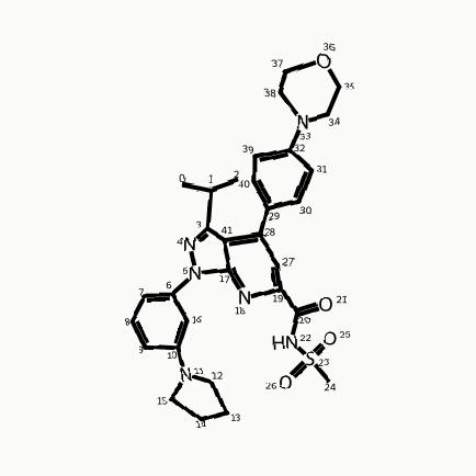 CC(C)c1nn(-c2cccc(N3CCCC3)c2)c2nc(C(=O)NS(C)(=O)=O)cc(-c3ccc(N4CCOCC4)cc3)c12